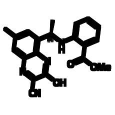 COC(=O)c1ccccc1N[C@H](C)c1cc(C)cc2nc(C#N)c(O)nc12